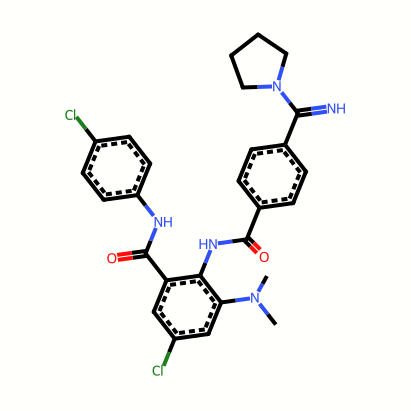 CN(C)c1cc(Cl)cc(C(=O)Nc2ccc(Cl)cc2)c1NC(=O)c1ccc(C(=N)N2CCCC2)cc1